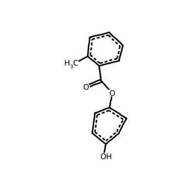 Cc1ccccc1C(=O)Oc1ccc(O)cc1